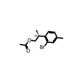 CC(=O)OC[C@@H](C)c1ccc(C)cc1Br